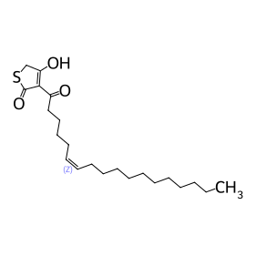 CCCCCCCCCCC/C=C\CCCCC(=O)C1=C(O)CSC1=O